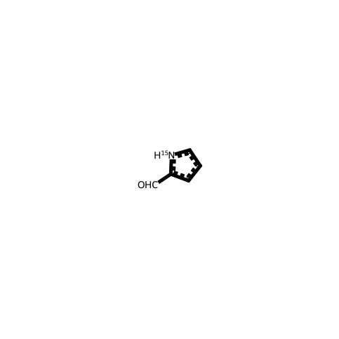 O=Cc1ccc[15nH]1